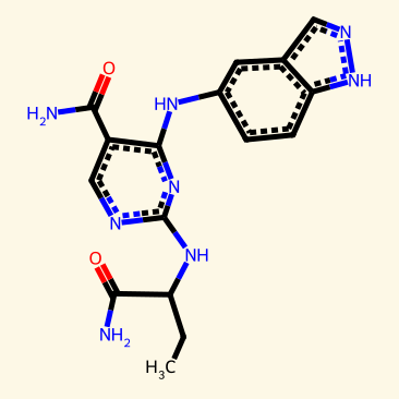 CCC(Nc1ncc(C(N)=O)c(Nc2ccc3[nH]ncc3c2)n1)C(N)=O